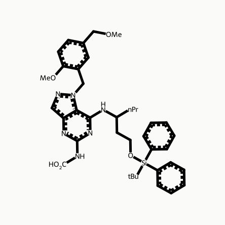 CCCC(CCO[Si](c1ccccc1)(c1ccccc1)C(C)(C)C)Nc1nc(NC(=O)O)nc2cnn(Cc3cc(COC)ccc3OC)c12